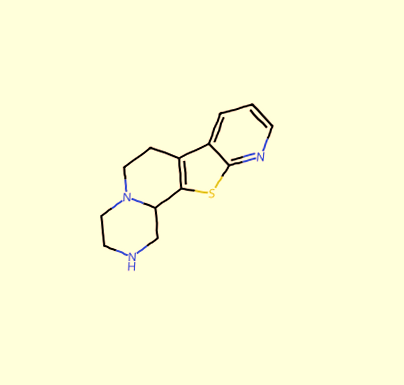 c1cnc2sc3c(c2c1)CCN1CCNCC31